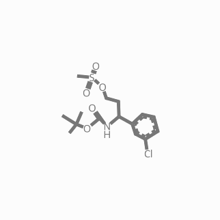 CC(C)(C)OC(=O)NC(CCOS(C)(=O)=O)c1cccc(Cl)c1